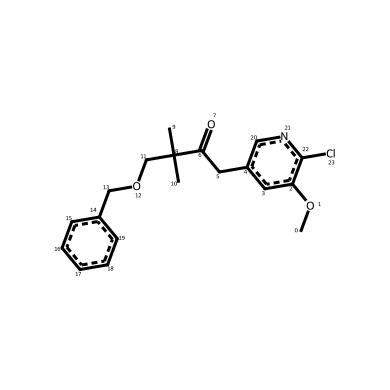 COc1cc(CC(=O)C(C)(C)COCc2ccccc2)cnc1Cl